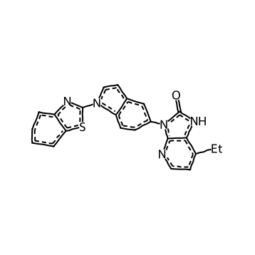 CCc1ccnc2c1[nH]c(=O)n2-c1ccc2c(ccn2-c2nc3ccccc3s2)c1